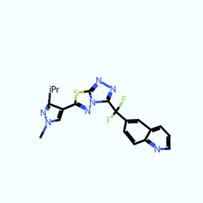 CC(C)c1nn(C)cc1-c1nn2c(C(F)(F)c3ccc4ncccc4c3)nnc2s1